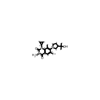 Cc1c(N2CCC(C(C)(C)O)C2)c(F)cc2c(=O)n(N)c(=O)n(C3CC3)c12